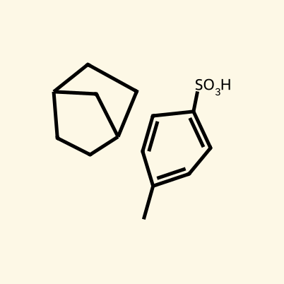 C1CC2CCC1C2.Cc1ccc(S(=O)(=O)O)cc1